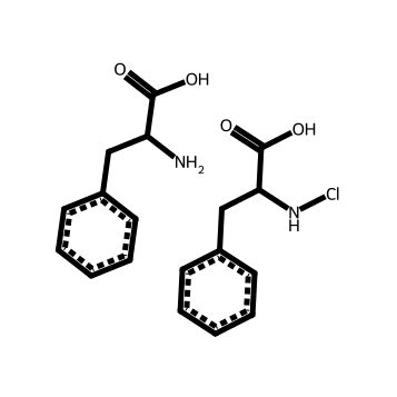 NC(Cc1ccccc1)C(=O)O.O=C(O)C(Cc1ccccc1)NCl